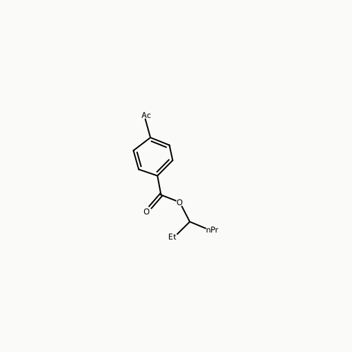 CCCC(CC)OC(=O)c1ccc(C(C)=O)cc1